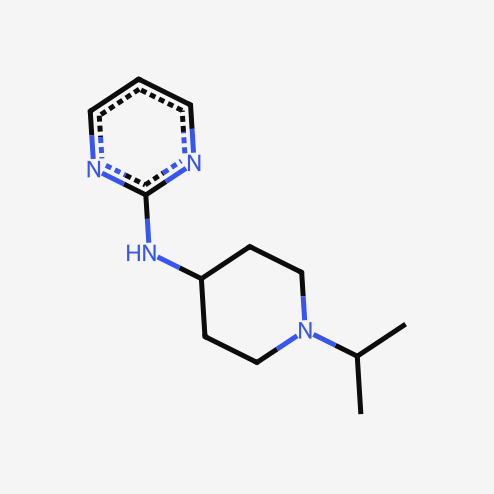 CC(C)N1CCC(Nc2ncccn2)CC1